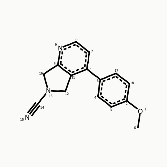 COc1ccc(-c2ccnc3c2CN(C#N)C3)cc1